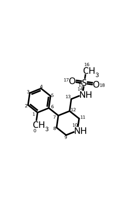 Cc1ccccc1C1CCNCC1CNS(C)(=O)=O